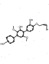 COc1cc(-c2ccc(O)cc2)c(OC)c(O)c1-c1ccc(OC/C=C\Br)c(O)c1